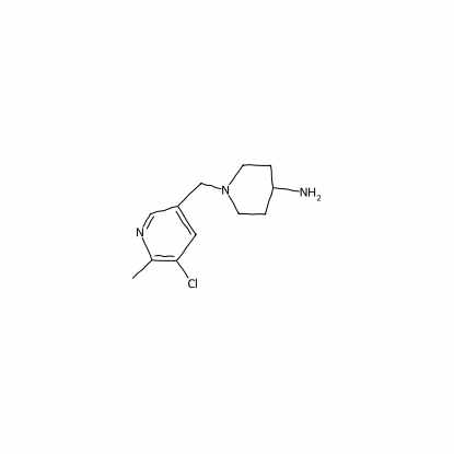 Cc1ncc(CN2CCC(N)CC2)cc1Cl